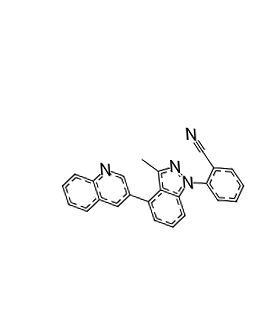 Cc1nn(-c2ccccc2C#N)c2cccc(-c3cnc4ccccc4c3)c12